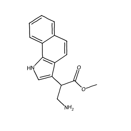 COC(=O)C(CN)c1c[nH]c2c1ccc1ccccc12